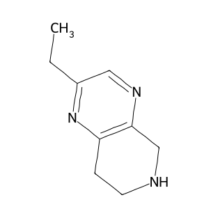 CCc1cnc2c(n1)CCNC2